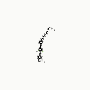 CCCCCCCCCCc1ccc(C#Cc2cc(F)c(C#Cc3ccc(C)cc3)c(F)c2)cc1